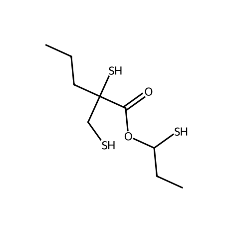 CCCC(S)(CS)C(=O)OC(S)CC